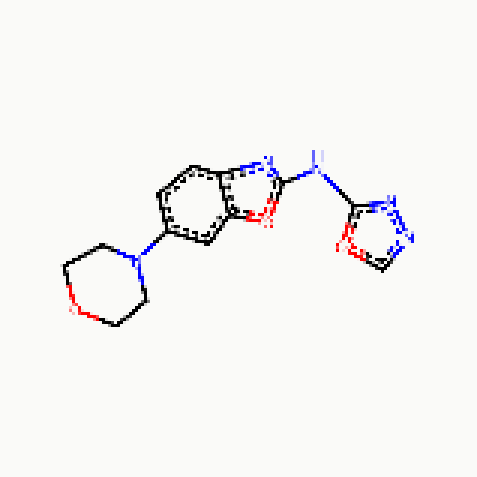 c1nnc(Nc2nc3ccc(N4CCOCC4)cc3o2)o1